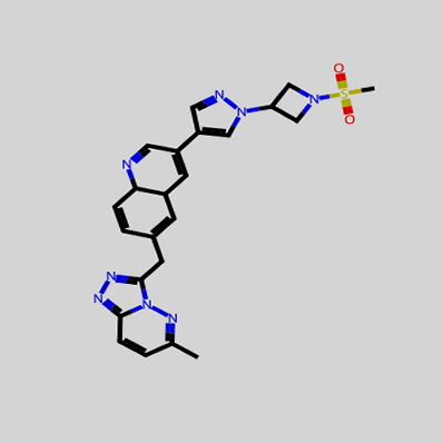 Cc1ccc2nnc(CC3=CC4C=C(c5cnn(C6CN(S(C)(=O)=O)C6)c5)C=NC4C=C3)n2n1